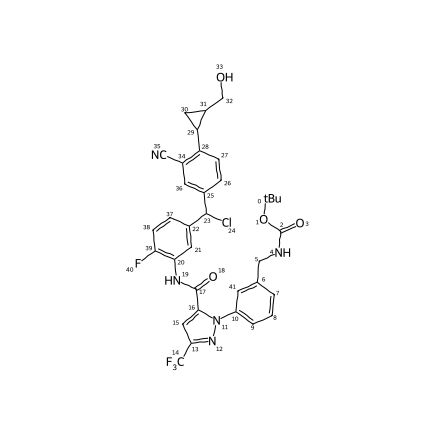 CC(C)(C)OC(=O)NCc1cccc(-n2nc(C(F)(F)F)cc2C(=O)Nc2cc(C(Cl)c3ccc(C4CC4CO)c(C#N)c3)ccc2F)c1